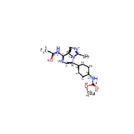 CC(C)c1ncc2c(NC(=O)C(F)(F)F)ncc(C3CCC(NC(=O)OC(C)(C)C)CC3)n12